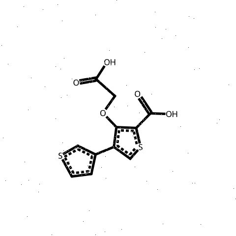 O=C(O)COc1c(-c2ccsc2)csc1C(=O)O